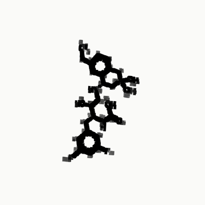 CCc1ccc2c(c1)[C@@H](NC[C@H](O)[C@H](Cc1cc(F)cc(F)c1)NC(=O)O)CS(O)(O)C2